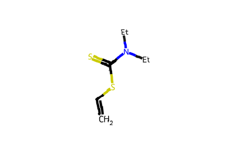 C=CSC(=S)N(CC)CC